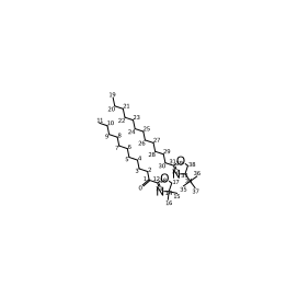 C=C(CCCCCCCCCC)C1=NC(C)(C)CO1.CCCCCCCCCCCCC1=NC(C(C)(C)C)CO1